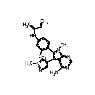 C=CC(=C)Nc1ccc(-c2c(-c3cnn(C)c3)c3c(N)ncnc3n2C)c(C)c1